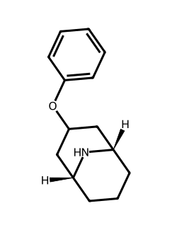 c1ccc(OC2C[C@H]3CCC[C@@H](C2)N3)cc1